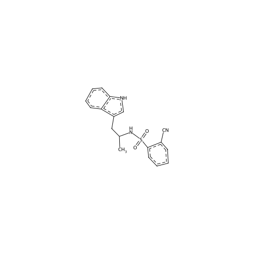 CC(Cc1c[nH]c2ccccc12)NS(=O)(=O)c1ccccc1C#N